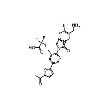 CC(=O)c1ccc(-c2cnc(-n3cnn(CC(CN)=C(F)F)c3=O)c(C)c2)s1.O=C(O)C(F)(F)F